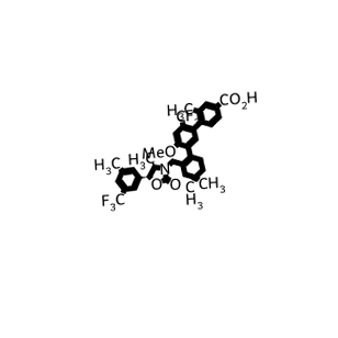 COc1cc(C(F)(F)F)c(-c2ccc(C(=O)O)cc2C)cc1C1=C(CN2C(=O)O[C@H](c3cc(C)cc(C(F)(F)F)c3)[C@@H]2C)CC(C)(C)CC1